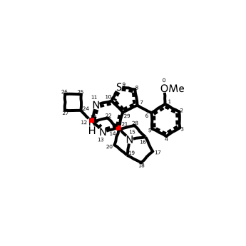 COc1ccccc1-c1csc2ncnc(N3C4CCC3CC(CNC3CCC3)C4)c12